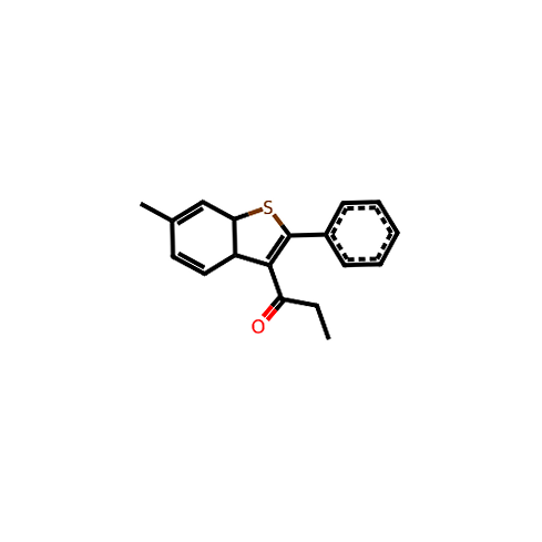 CCC(=O)C1=C(c2ccccc2)SC2C=C(C)C=CC12